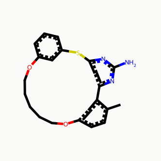 Cc1ccc2cc1-c1cc(nc(N)n1)Sc1cccc(c1)OCCCCCO2